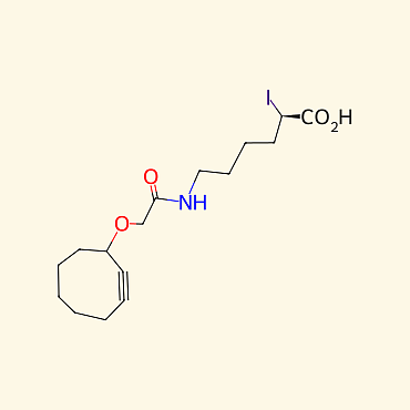 O=C(COC1C#CCCCCC1)NCCCC[C@@H](I)C(=O)O